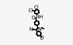 CCn1c(-c2ccc(C(=O)Nc3ccc(Cl)c(Cl)c3)cc2)c(C#N)c2ccc(OC)cc21